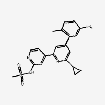 Cc1ccc(N)cc1-c1cc(-c2ccnc(NS(C)(=O)=O)c2)nc(C2CC2)c1